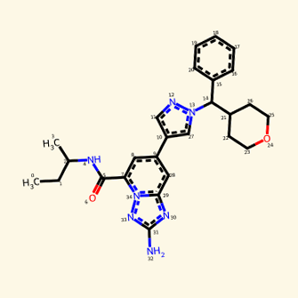 CCC(C)NC(=O)c1cc(-c2cnn(C(c3ccccc3)C3CCOCC3)c2)cc2nc(N)nn12